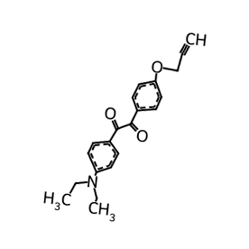 C#CCOc1ccc(C(=O)C(=O)c2ccc(N(CC)CC)cc2)cc1